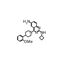 COc1ccccc1C1CCN(c2nc(NC3CCC3)nc3ccc(N)cc23)CC1